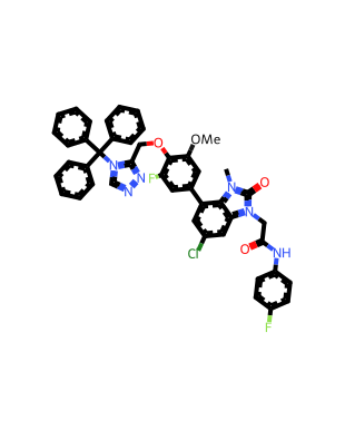 COc1cc(-c2cc(Cl)cc3c2n(C)c(=O)n3CC(=O)Nc2ccc(F)cc2)cc(F)c1OCc1nncn1C(c1ccccc1)(c1ccccc1)c1ccccc1